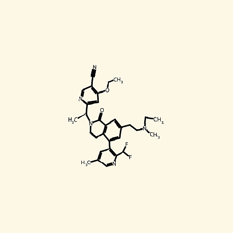 CCOc1cc([C@H](C)N2CCc3c(cc(CCN(C)CC)cc3-c3cc(C)cnc3C(F)F)C2=O)ncc1C#N